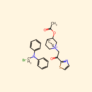 CC(=O)OC1C[N+]2(CC(=O)c3nccs3)CCC1CC2.CN(c1ccccc1)c1ccccc1.[Br-]